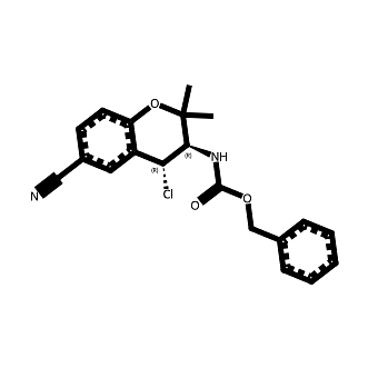 CC1(C)Oc2ccc(C#N)cc2[C@@H](Cl)[C@@H]1NC(=O)OCc1ccccc1